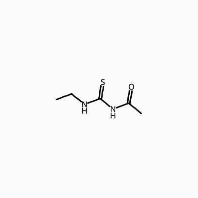 CCNC(=S)NC(C)=O